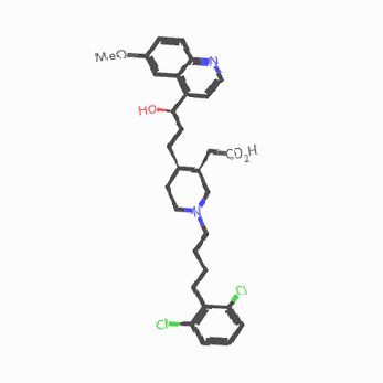 COc1ccc2nccc([C@H](O)CC[C@@H]3CCN(CCCCc4c(Cl)cccc4Cl)C[C@@H]3CC(=O)O)c2c1